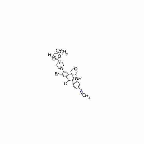 C/N=C/c1ccc2c3c([nH]c2c1)C1(CCOCC1)c1cc(N2CCN(C(=O)OC(C)(C)C)CC2)c(Br)cc1C3=O